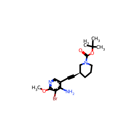 COc1ncc(C#C[C@@H]2CCCN(C(=O)OC(C)(C)C)C2)c(N)c1Br